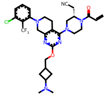 C=CC(=O)N1CCN(c2nc(OCC3CC(N(C)C)C3)nc3c2CCN(c2cccc(Cl)c2C(F)(F)F)C3)C[C@@H]1CC#N